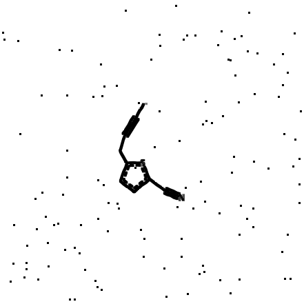 [CH2]C#CCc1ccc(C#N)s1